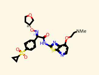 CNCCOc1ccnc2sc(NC(=O)/C(=N/O[C@@H]3CCOC3)c3ccc(S(=O)(=O)C4CC4)cc3)nc12